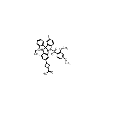 CCOc1ncccc1C1(Nc2ccc(C3CN(C(=O)O)C3)cc2)C(=O)N(S(=O)(=O)c2ccc(OC)cc2OC)c2ccc(I)cc21